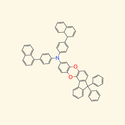 C1=CC2=CC=CC(c3ccc(N(c4ccc(-c5cccc6ccccc56)cc4)c4ccc5c(c4)Oc4ccc6c(c4O5)-c4ccccc4C6(c4ccccc4)c4ccccc4)cc3)C2C=C1